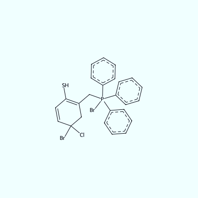 SC1=C(CP(Br)(c2ccccc2)(c2ccccc2)c2ccccc2)CC(Cl)(Br)C=C1